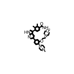 Cc1c(C(N)=O)ccc(-c2c[nH]c3ncc(-c4ccc(N5CCN(C)CC5)c(OCCN5CCOCC5)c4)cc23)c1C